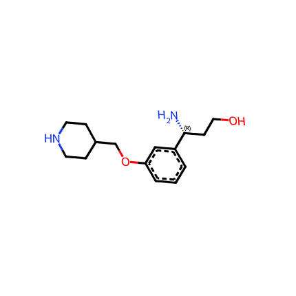 N[C@H](CCO)c1cccc(OCC2CCNCC2)c1